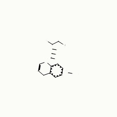 C1=COc2ccccc2C1.CC(=O)O.CC(=O)O.CC(=O)O.CC(=O)O.NCCN